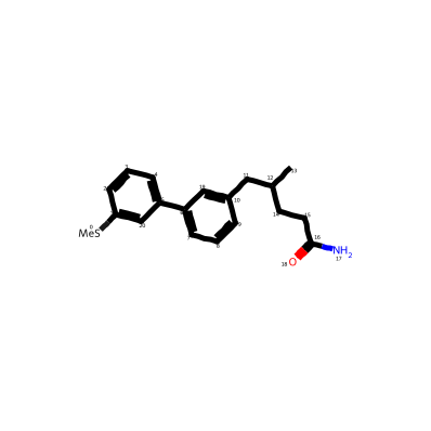 CSc1cccc(-c2cccc(CC(C)CCC(N)=O)c2)c1